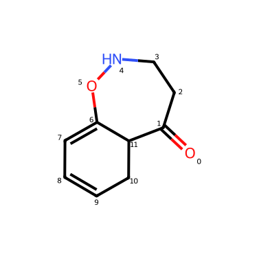 O=C1CCNOC2=CC=CCC12